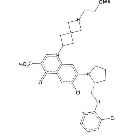 COCCN1CC2(CC(n3cc(C(=O)O)c(=O)c4cc(Cl)c(N5CCC[C@@H]5COc5ncccc5Cl)cc43)C2)C1